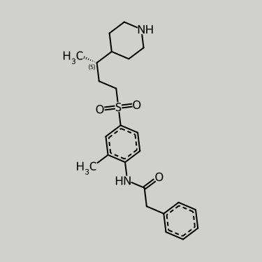 Cc1cc(S(=O)(=O)CC[C@H](C)C2CCNCC2)ccc1NC(=O)Cc1ccccc1